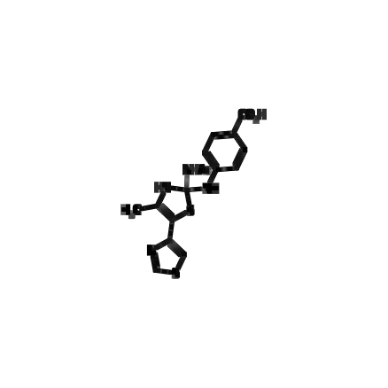 CC(=O)NC1(Nc2ccc(C(=O)O)cc2)NC(C)=C(c2cscn2)S1